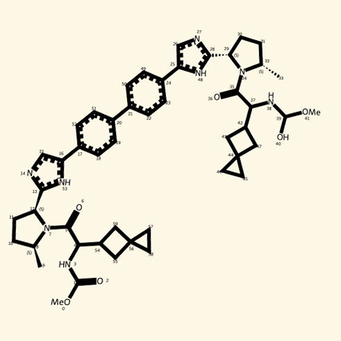 COC(=O)NC(C(=O)N1[C@@H](C)CC[C@H]1c1ncc(-c2ccc(-c3ccc(-c4cnc([C@@H]5CC[C@H](C)N5C(=O)C(NC(O)OC)C5CC6(CC6)C5)[nH]4)cc3)cc2)[nH]1)C1CC2(CC2)C1